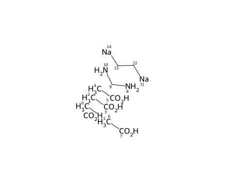 CC(=O)O.CC(=O)O.CC(=O)O.CC(=O)O.NCN.[Na][CH2][CH2][Na]